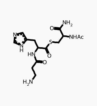 CC(=O)NC(CSC(=O)C(Cc1cnc[nH]1)NC(=O)CCN)C(N)=O